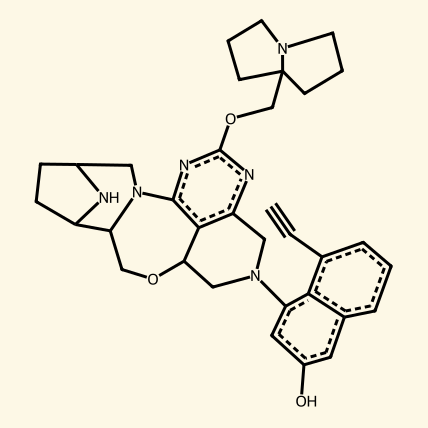 C#Cc1cccc2cc(O)cc(N3Cc4nc(OCC56CCCN5CCC6)nc5c4C(C3)OCC3C4CCC(CN53)N4)c12